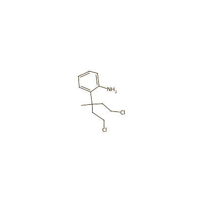 CC(CCCl)(CCCl)c1ccccc1N